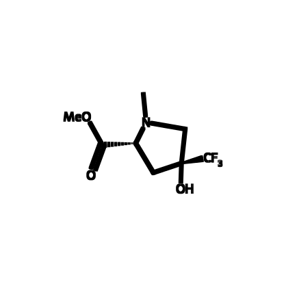 COC(=O)[C@H]1C[C@](O)(C(F)(F)F)CN1C